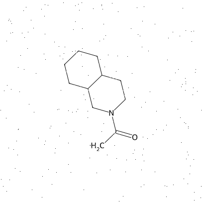 [CH2]C(=O)N1CCC2CCCCC2C1